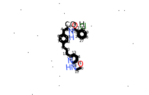 O=C(N[C@@H](Cc1ccc(CCCc2ccc3c(n2)NCCO3)cc1)C(=O)O)c1ccccc1Cl